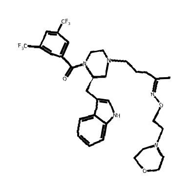 CC(CCCN1CCN(C(=O)c2cc(C(F)(F)F)cc(C(F)(F)F)c2)[C@H](Cc2c[nH]c3ccccc23)C1)=NOCCN1CCOCC1